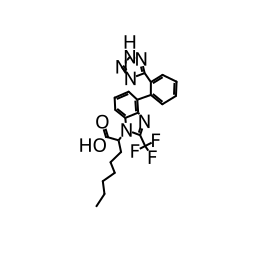 CCCCCCC(C(=O)O)n1c(C(F)(F)F)nc2c(-c3ccccc3-c3nn[nH]n3)cccc21